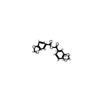 O=C(OC(=O)c1ccc2c(c1)OCO2)c1ccc2c(c1)OCO2